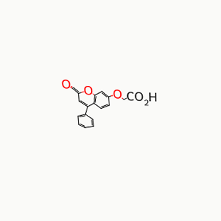 O=C=C1C=C(c2ccccc2)c2ccc(OCC(=O)O)cc2O1